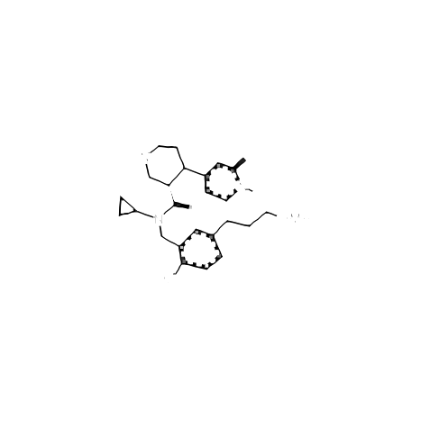 COCCCc1ccc(Cl)c(CN(C(=O)[C@H]2CNCCC2c2ccn(C)c(=O)c2)C2CC2)c1